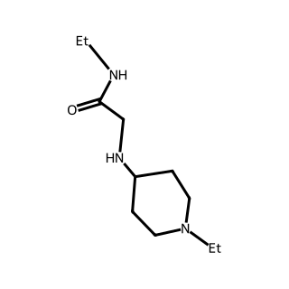 CCNC(=O)CNC1CCN(CC)CC1